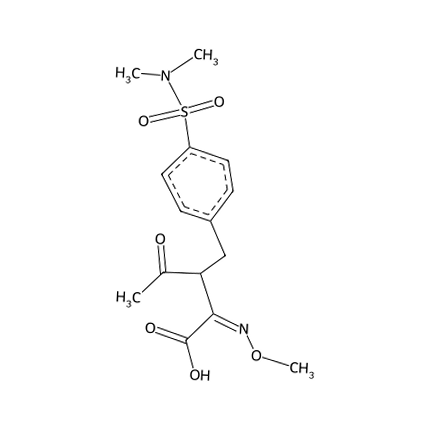 CON=C(C(=O)O)C(Cc1ccc(S(=O)(=O)N(C)C)cc1)C(C)=O